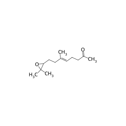 CC(=O)CC/C=C(\C)CCC1OC1(C)C